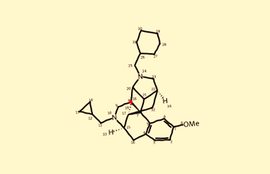 COc1ccc2c(c1)[C@]13CCN(CC4CC4)[C@H](C2)[C@]12CCC1C3[C@@H](CN1CC1CCCCC1)C2